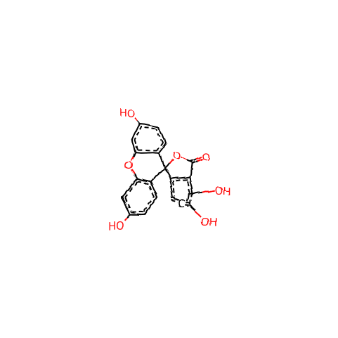 O=C1OC2(c3ccc(O)cc3Oc3cc(O)ccc32)c2ccc(O)c(O)c21